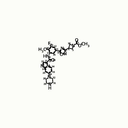 COC(=O)N1CC(c2noc(-c3cc(F)c(C)c(NC(=O)c4cnc5cc(N6CCNCC6)ccn45)c3)n2)C1